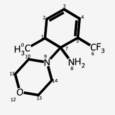 CC1C=CC=C(C(F)(F)F)C1(N)N1CCOCC1